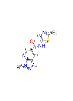 CCc1nnc(NC(=O)c2cnc3c(cnn3C(C)C)c2)s1